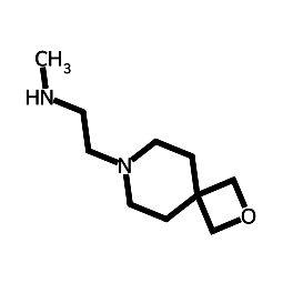 CNCCN1CCC2(CC1)COC2